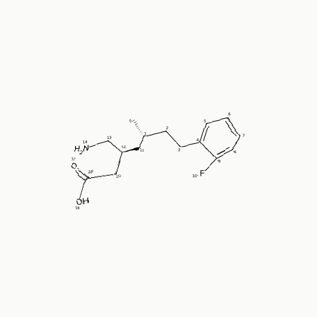 C[C@H](CCc1ccccc1F)C[C@H](CN)CC(=O)O